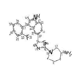 NC1CCCN(c2nnc(-c3ccc4[nH]cc(-c5ccccc5F)c4c3)s2)C1